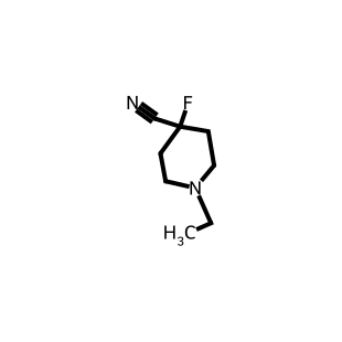 CCN1CCC(F)(C#N)CC1